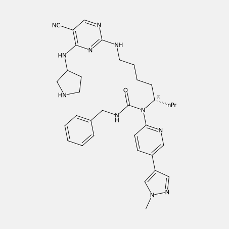 CCC[C@@H](CCCCNc1ncc(C#N)c(NC2CCNC2)n1)N(C(=O)NCc1ccccc1)c1ccc(-c2cnn(C)c2)cn1